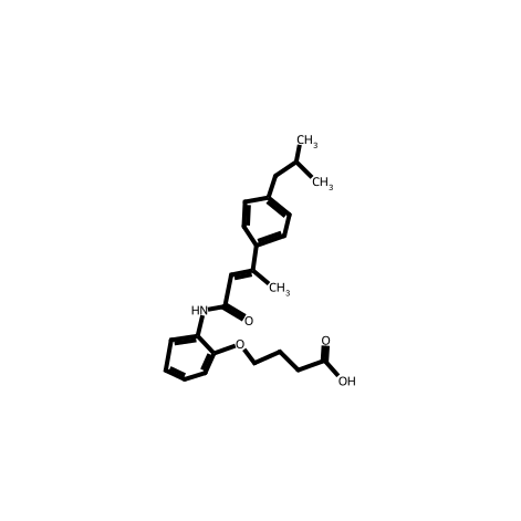 CC(=CC(=O)Nc1ccccc1OCCCC(=O)O)c1ccc(CC(C)C)cc1